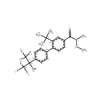 CON(C)C(=O)c1ccc(-c2ccc(C(O)(C(F)(F)F)C(F)(F)F)cc2)c(C(C)(C)C)c1